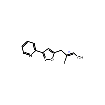 O/C=C(\F)Cc1cc(-c2ccccn2)no1